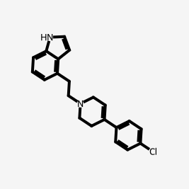 Clc1ccc(C2=CCN(CCc3cccc4[nH]ccc34)CC2)cc1